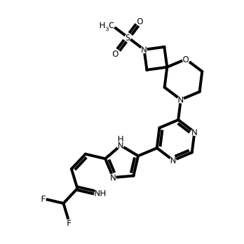 CS(=O)(=O)N1CC2(CN(c3cc(-c4cnc(/C=C\C(=N)C(F)F)[nH]4)ncn3)CCO2)C1